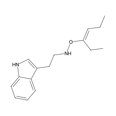 CC/C=C(\CC)ONCCc1c[nH]c2ccccc12